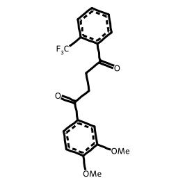 COc1ccc(C(=O)CCC(=O)c2ccccc2C(F)(F)F)cc1OC